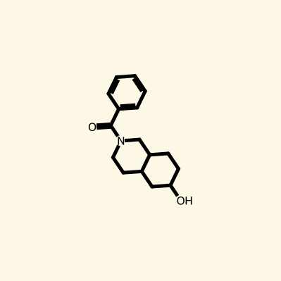 O=C(c1ccccc1)N1CCC2CC(O)CCC2C1